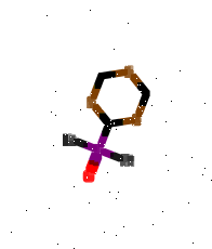 CCP(=O)(CC)C1SCSCS1